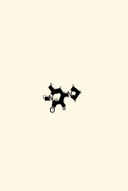 Cc1cc(N2CCC2)c(I)c(=O)n1C